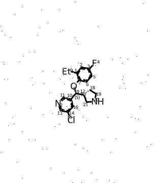 CCc1cc(F)ccc1O[C@H](c1cncc(Cl)c1)[C@@H]1CCNC1